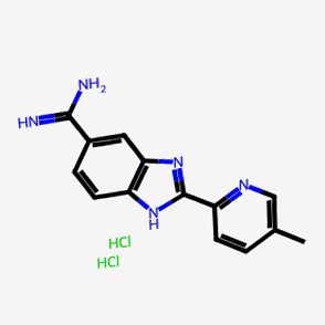 Cc1ccc(-c2nc3cc(C(=N)N)ccc3[nH]2)nc1.Cl.Cl